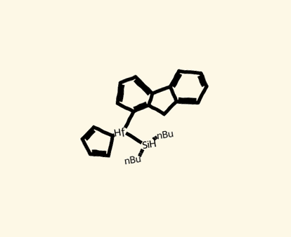 CCCC[SiH](CCCC)[Hf]([c]1cccc2c1Cc1ccccc1-2)[CH]1C=CC=C1